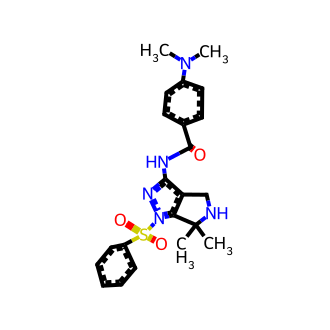 CN(C)c1ccc(C(=O)Nc2nn(S(=O)(=O)c3ccccc3)c3c2CNC3(C)C)cc1